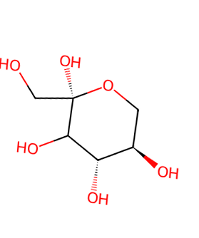 OC[C@@]1(O)OC[C@@H](O)[C@H](O)C1O